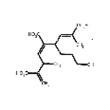 C=C(C(=O)O)C(C)C=C(C(=O)O)C(C=C(C)C(=O)O)CCCO